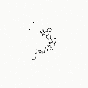 C[C@H](CNC(C)(C)CC(=O)N[C@@H]1CCc2ccccc2N(Cc2ccc(-c3ccccc3-c3nnnn3C)cc2)C1=O)OCc1ccccc1